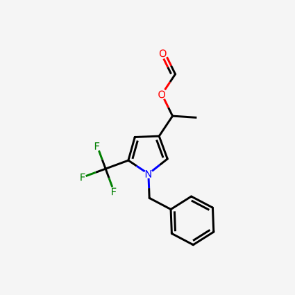 CC(OC=O)c1cc(C(F)(F)F)n(Cc2ccccc2)c1